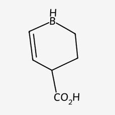 O=C(O)C1C=CBCC1